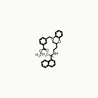 COC(=O)c1cccc(CN2CC(CCN[C@H](C)c3cccc4ccccc34)Oc3ccccc32)c1